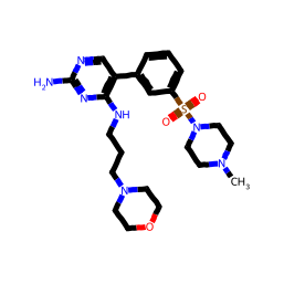 CN1CCN(S(=O)(=O)c2cccc(-c3cnc(N)nc3NCCCN3CCOCC3)c2)CC1